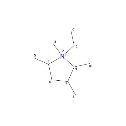 CC[N+]1(C)C(C)CC(C)C1C